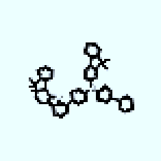 CC1(C)c2ccccc2-c2ccc(N(c3ccc(-c4ccccc4)cc3)c3ccc(-c4cccc5c6c(oc45)C4c5ccccc5C(C)(C)C4(C)C=C6)cc3)cc21